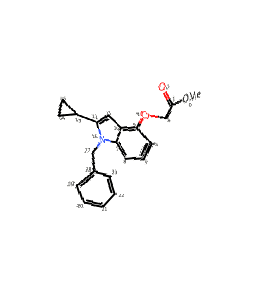 COC(=O)COc1cccc2c1cc(C1CC1)n2Cc1ccccc1